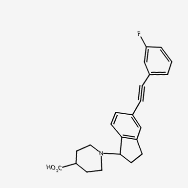 O=C(O)C1CCN(C2CCc3cc(C#Cc4cccc(F)c4)ccc32)CC1